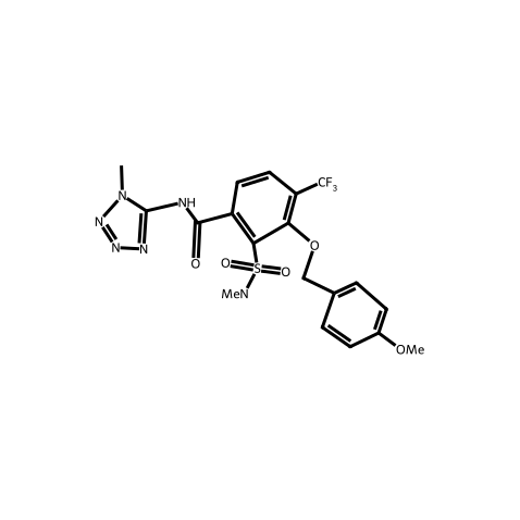 CNS(=O)(=O)c1c(C(=O)Nc2nnnn2C)ccc(C(F)(F)F)c1OCc1ccc(OC)cc1